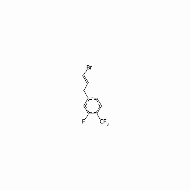 Fc1cc(C/C=C/Br)ccc1C(F)(F)F